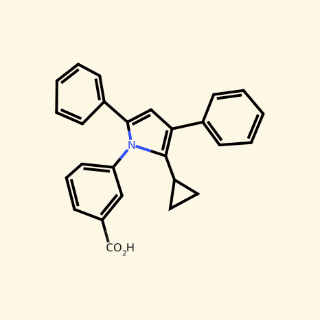 O=C(O)c1cccc(-n2c(-c3ccccc3)cc(-c3ccccc3)c2C2CC2)c1